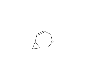 C1=CC2CC2COC1